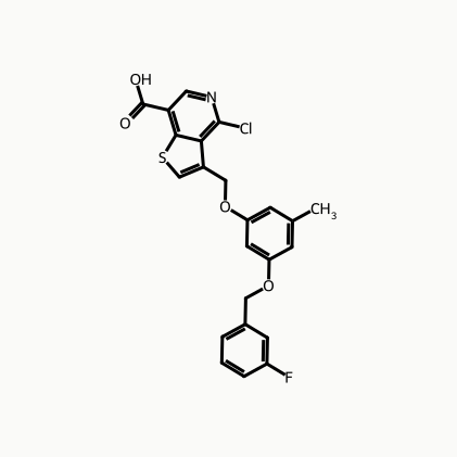 Cc1cc(OCc2cccc(F)c2)cc(OCc2csc3c(C(=O)O)cnc(Cl)c23)c1